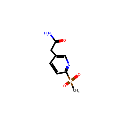 CS(=O)(=O)c1ccc(CC(N)=O)cn1